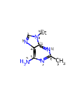 CCn1cnc2c(N)nc(C)nc21